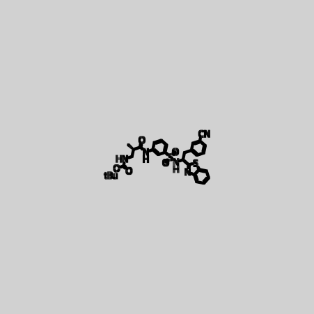 C[C@H](CNC(=O)OC(C)(C)C)C(=O)Nc1cccc(S(=O)(=O)NC(Cc2cccc(C#N)c2)c2nc3ccccc3s2)c1